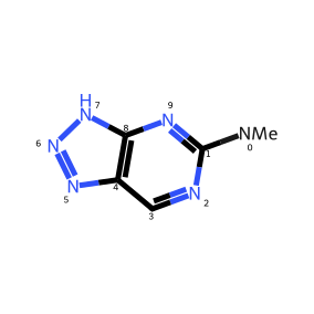 CNc1ncc2nn[nH]c2n1